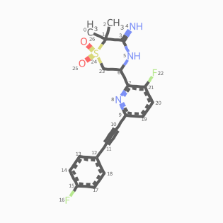 CC1(C)C(=N)NC(c2nc(C#Cc3ccc(F)cc3)ccc2F)CS1(=O)=O